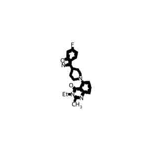 CCn1c(C)nc2cccc(N3CCC(c4noc5cc(F)ccc45)CC3)c2c1=O